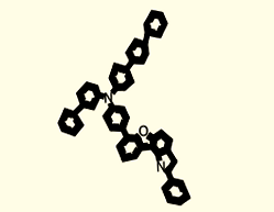 c1ccc(C2=Nc3c(ccc4oc5c(-c6ccc(N(c7ccc(-c8ccc(-c9ccccc9)cc8)cc7)c7cccc(-c8ccccc8)c7)cc6)cccc5c34)C2)cc1